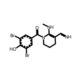 CNC1=C(C=N)CCCN1C(=O)c1cc(Br)c(O)c(Br)c1